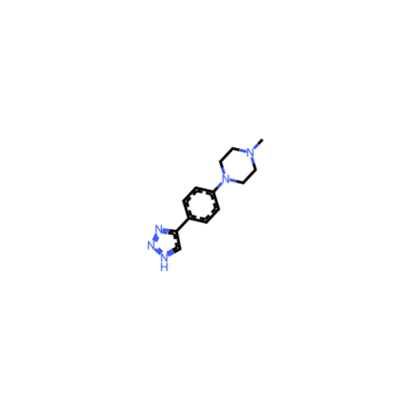 CN1CCN(c2ccc(-c3c[nH]nn3)cc2)CC1